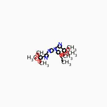 CCCCOc1ccc(N(Cc2cncc(-c3cc(OC)c(OC)c(OC)c3)c2)C2CCN(Cc3ccnc(-c4cc(OC)c(OC)c(OC)c4)c3)CC2)cc1